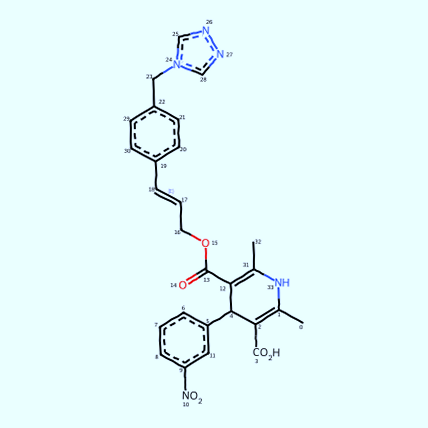 CC1=C(C(=O)O)C(c2cccc([N+](=O)[O-])c2)C(C(=O)OC/C=C/c2ccc(Cn3cnnc3)cc2)=C(C)N1